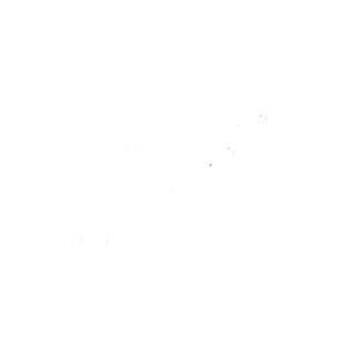 O=c1ccn([C@@H]2O[C@H](COP(=O)(O)CP(=O)(O)O)C(O)C2F)c(=O)[nH]1